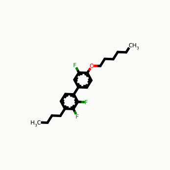 CCCCCCOc1ccc(-c2ccc(CCCC)c(F)c2F)cc1F